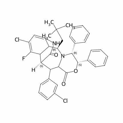 CC(C)(C)C[C@@H]1C2C3=CC(Cl)=C(F)C2[C@@H](C(=O)N3)C(c2cccc(Cl)c2)C2C(=O)O[C@@H](c3ccccc3)[C@@H](c3ccccc3)N21